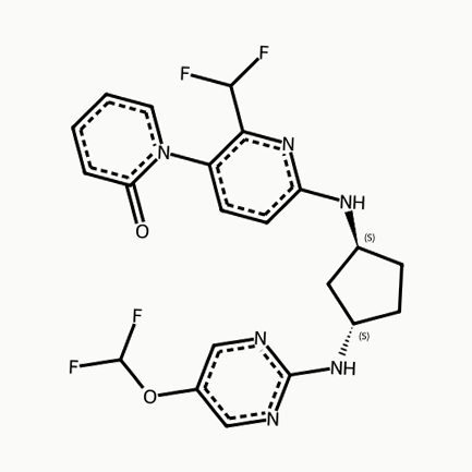 O=c1ccccn1-c1ccc(N[C@H]2CC[C@H](Nc3ncc(OC(F)F)cn3)C2)nc1C(F)F